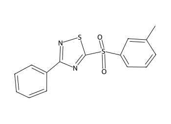 Cc1cccc(S(=O)(=O)c2nc(-c3ccccc3)ns2)c1